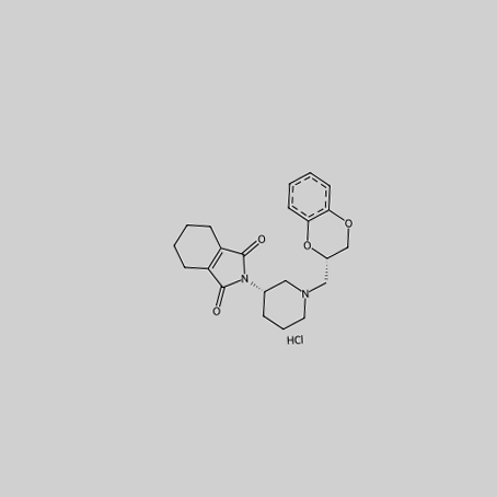 Cl.O=C1C2=C(CCCC2)C(=O)N1[C@H]1CCCN(C[C@H]2COc3ccccc3O2)C1